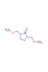 COCN1CCN(COC)C1=O